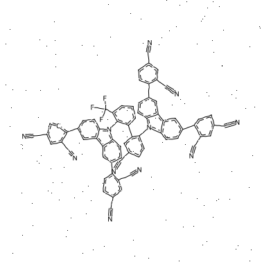 N#Cc1ccc(-c2ccc3c(c2)c2cc(-c4ccc(C#N)cc4C#N)ccc2n3-c2ccc(C#N)cc2-c2cccc(C(F)(F)F)c2-n2c3ccc(-c4ccc(C#N)cc4C#N)cc3c3cc(-c4ccc(C#N)cc4C#N)ccc32)c(C#N)c1